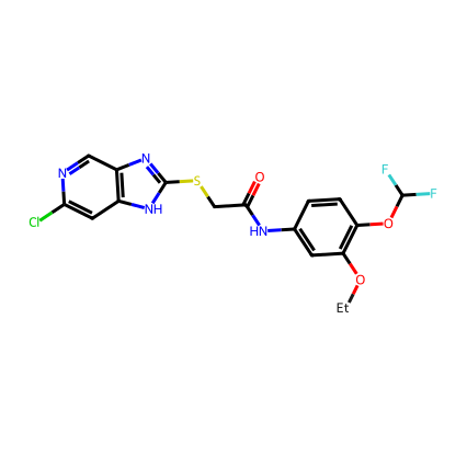 CCOc1cc(NC(=O)CSc2nc3cnc(Cl)cc3[nH]2)ccc1OC(F)F